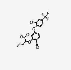 CCCC(Oc1cc(Oc2ccc(C(F)(F)F)cc2Cl)ccc1C#N)C(=O)OC